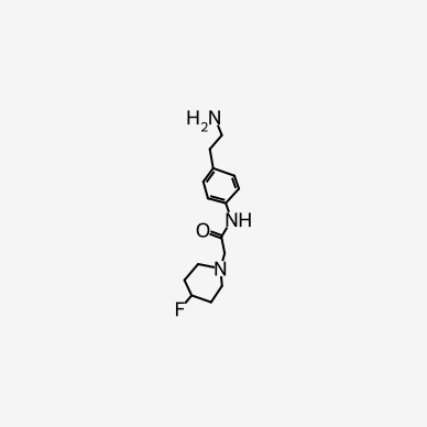 NCCc1ccc(NC(=O)CN2CCC(F)CC2)cc1